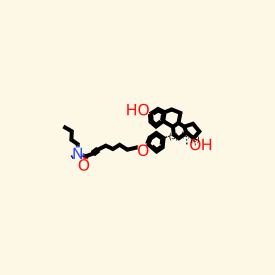 CCCCN(C)C(=O)C#CCCCCCOc1ccc([C@H]2C[C@@]3(C)C(CC[C@@H]3O)C3CCc4cc(O)ccc4C32)cc1